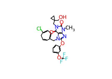 Cn1c(=O)n(CC2(CO)CC2)c(=O)c2c1nc(Oc1cccc(OC(F)(F)F)c1)n2CC1=CC=C(Cl)CC=C1